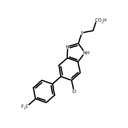 O=C(O)CSc1nc2cc(-c3ccc(C(F)(F)F)cc3)c(Cl)cc2[nH]1